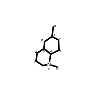 CC1CCC2C(CCCN2C)C1